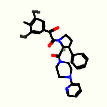 COc1cc(C(=O)C(=O)N2CCC(c3ccccc3)[C@H]2C(=O)N2CCN(c3ccccn3)CC2)cc(OC)c1C